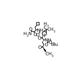 CC#CC(=O)CC[C@H](NC(=O)OC(C)(C)C)C(=O)N1CC2C([C@H]1C(=O)NC(CC1CCC1)C(=O)C(N)=O)C2(C)C